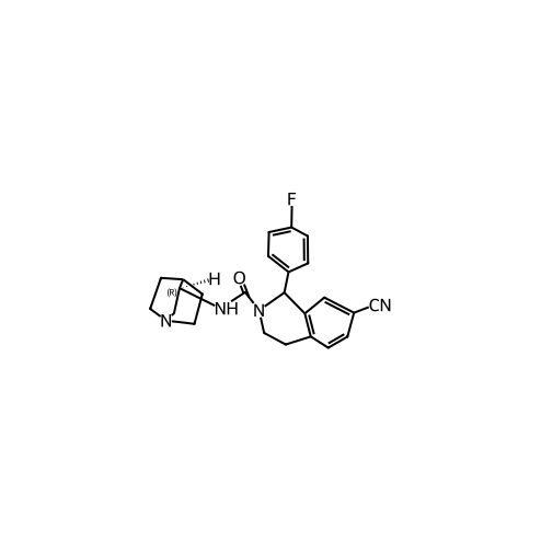 N#Cc1ccc2c(c1)C(c1ccc(F)cc1)N(C(=O)N[C@H]1CN3CCC1CC3)CC2